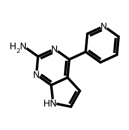 Nc1nc(-c2cccnc2)c2cc[nH]c2n1